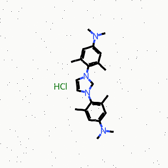 Cc1cc(N(C)C)cc(C)c1N1C=CN(c2c(C)cc(N(C)C)cc2C)C1.Cl